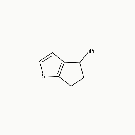 CC(C)C1CCc2sccc21